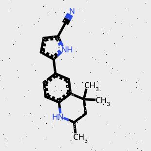 CC1CC(C)(C)c2cc(-c3ccc(C#N)[nH]3)ccc2N1